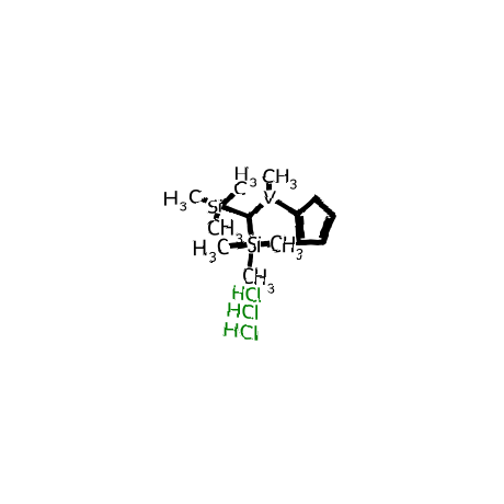 Cl.Cl.Cl.[CH3][V]([C]1=CC=CC1)[CH]([Si](C)(C)C)[Si](C)(C)C